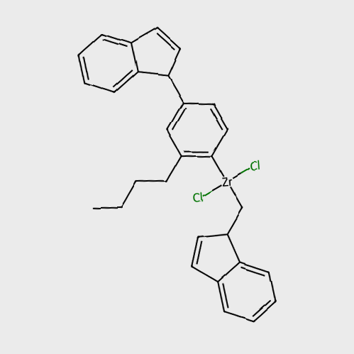 CCCCc1cc(C2C=Cc3ccccc32)cc[c]1[Zr]([Cl])([Cl])[CH2]C1C=Cc2ccccc21